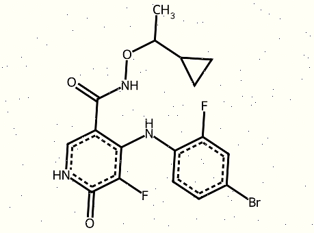 CC(ONC(=O)c1c[nH]c(=O)c(F)c1Nc1ccc(Br)cc1F)C1CC1